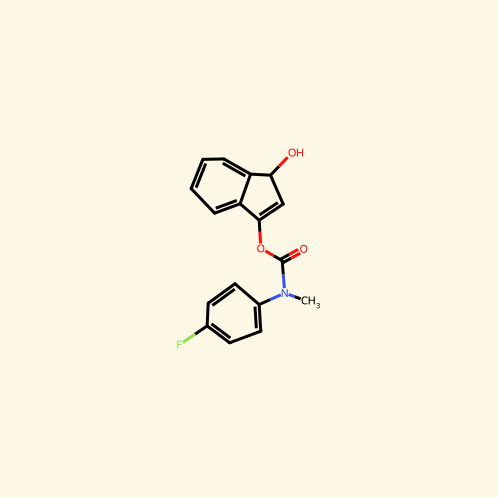 CN(C(=O)OC1=CC(O)c2ccccc21)c1ccc(F)cc1